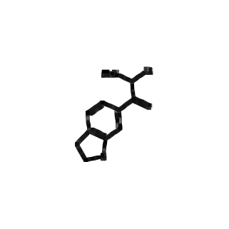 C=C(c1ccc2c(c1)SCC2)C(CC)NC